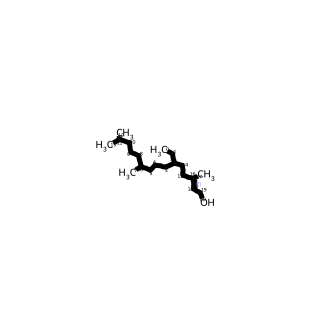 CCC(CCCC(C)CCCC(C)C)CC/C(C)=C/CO